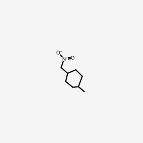 [CH2]C1CCC(C[N+](=O)[O-])CC1